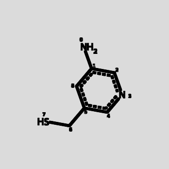 Nc1cncc(CS)c1